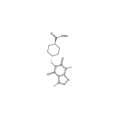 COC(=O)[C@H]1CC[C@H](Cn2c(=O)c3c(ncn3C)n(C)c2=O)CC1